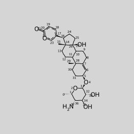 C[C@@H]1O[C@@H](O[C@@H]2C=C3CCC4C(CC[C@]5(C)[C@@H](c6ccc(=O)oc6)CC[C@]45O)[C@@]3(C)CC2)[C@H](O)C(O)[C@@H]1N